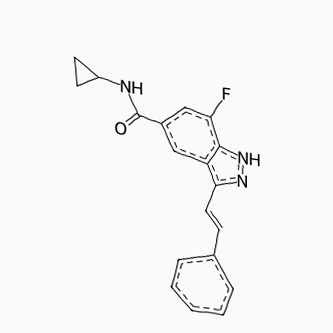 O=C(NC1CC1)c1cc(F)c2[nH]nc(/C=C/c3ccccc3)c2c1